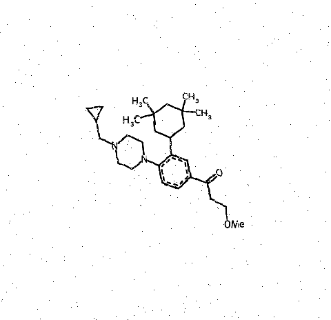 COCCC(=O)c1ccc(N2CCN(CC3CC3)CC2)c(C2CC(C)(C)CC(C)(C)C2)c1